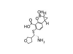 NC[C@@H](Sc1ccc2c(c1C(=O)O)OB(O)[C@@H]1C[C@H]21)C1CCOC1